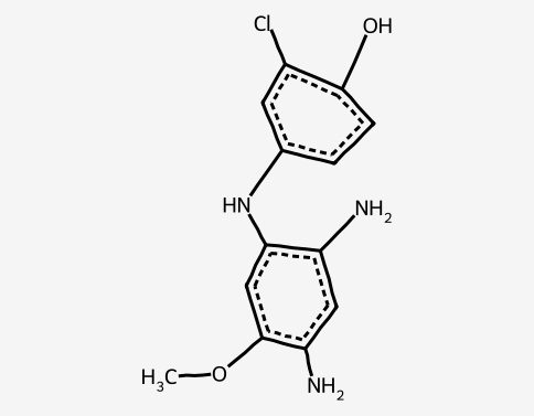 COc1cc(Nc2ccc(O)c(Cl)c2)c(N)cc1N